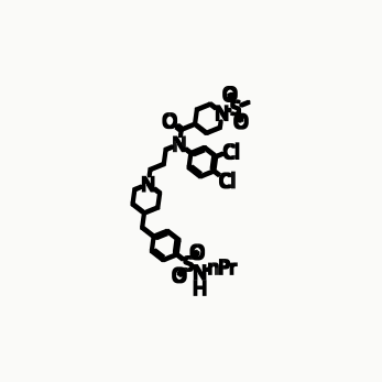 CCCNS(=O)(=O)c1ccc(CC2CCN(CCCN(C(=O)C3CCN(S(C)(=O)=O)CC3)c3ccc(Cl)c(Cl)c3)CC2)cc1